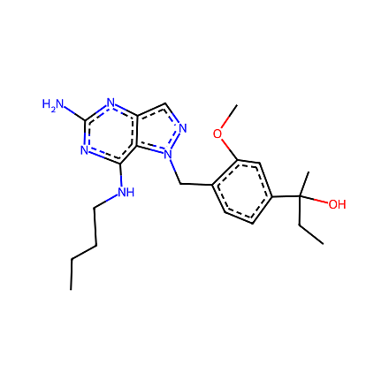 CCCCNc1nc(N)nc2cnn(Cc3ccc(C(C)(O)CC)cc3OC)c12